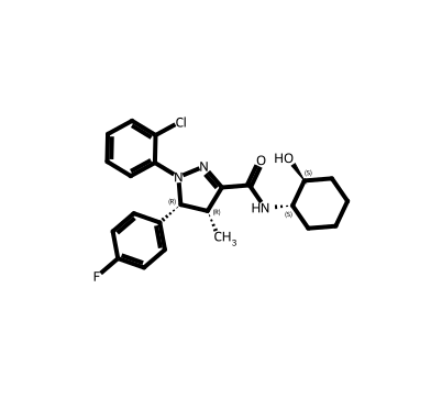 C[C@H]1C(C(=O)N[C@H]2CCCC[C@@H]2O)=NN(c2ccccc2Cl)[C@H]1c1ccc(F)cc1